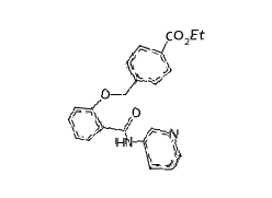 CCOC(=O)c1ccc(COc2ccccc2C(=O)Nc2cccnc2)cc1